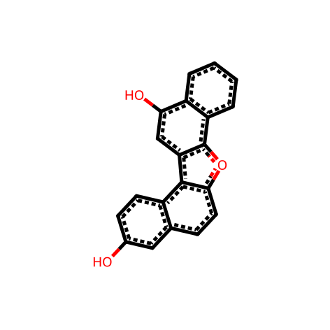 Oc1ccc2c(ccc3oc4c5ccccc5c(O)cc4c32)c1